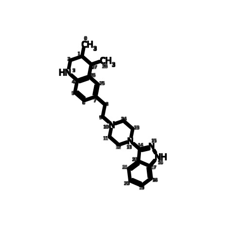 CC1CNc2ccc(CCN3CCN(c4n[nH]c5ccccc45)CC3)cc2C1C